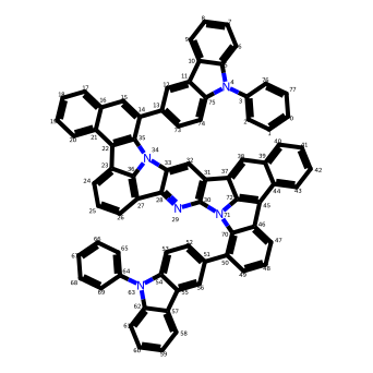 c1ccc(-n2c3ccccc3c3cc(-c4cc5ccccc5c5c6cccc7c8nc9c(cc8n(c45)c76)c4cc5ccccc5c5c6cccc(-c7ccc8c(c7)c7ccccc7n8-c7ccccc7)c6n9c45)ccc32)cc1